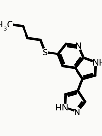 CCCCSc1cnc2[nH]cc(-c3cn[nH]c3)c2c1